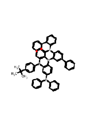 CC(C)(C)c1ccc(N2c3cc(N(c4ccccc4)c4ccccc4)ccc3B3c4cc(-c5ccccc5)ccc4N(c4ccccc4-c4ccccc4)c4cccc2c43)cc1